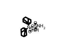 N=S(=O)(OS(N)(=O)=O)N(C1C2CC3CC(C2)CC1C3)C1C2CC3CC(C2)CC1C3